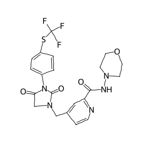 O=C(NN1CCOCC1)c1cc(CN2CC(=O)N(c3ccc(SC(F)(F)F)cc3)C2=O)ccn1